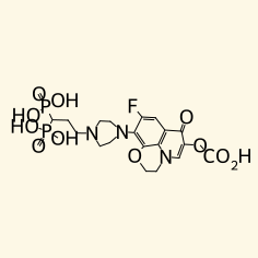 O=C(O)Oc1cn2c3c(c(N4CCN(CCC(P(=O)(O)O)P(=O)(O)O)CC4)c(F)cc3c1=O)OCC2